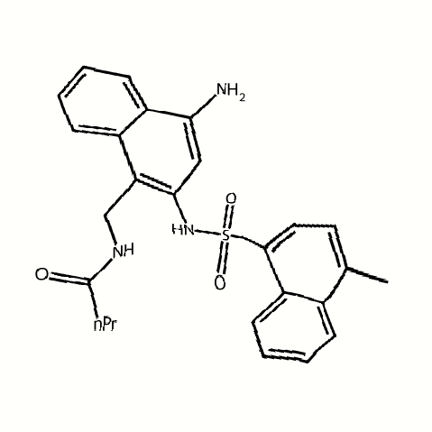 CCCC(=O)NCc1c(NS(=O)(=O)c2ccc(C)c3ccccc23)cc(N)c2ccccc12